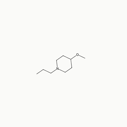 CCCN1CCC(OC)CC1